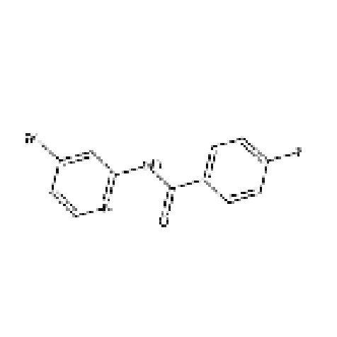 O=C(Nc1cc(Br)ccn1)c1ccc(F)cc1